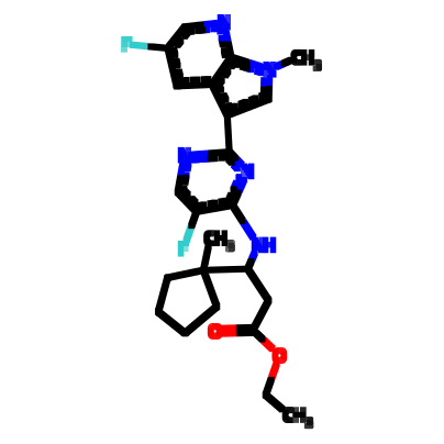 CCOC(=O)CC(Nc1nc(-c2cn(C)c3ncc(F)cc23)ncc1F)C1(C)CCCC1